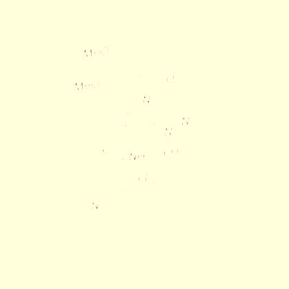 COc1ccc(C(=O)N2CCC(NC(=O)c3cnccc3C(F)(F)F)c3c2cnn3C)cc1OC